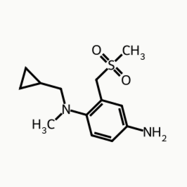 CN(CC1CC1)c1ccc(N)cc1CS(C)(=O)=O